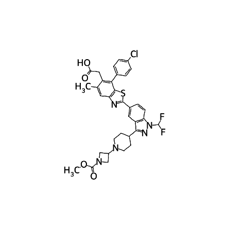 COC(=O)N1CC(N2CCC(c3nn(C(F)F)c4ccc(-c5nc6cc(C)c(CC(=O)O)c(-c7ccc(Cl)cc7)c6s5)cc34)CC2)C1